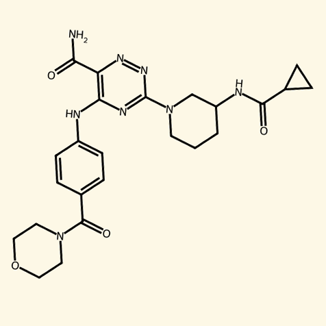 NC(=O)c1nnc(N2CCCC(NC(=O)C3CC3)C2)nc1Nc1ccc(C(=O)N2CCOCC2)cc1